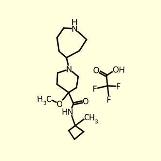 COC1(C(=O)NC2(C)CCC2)CCN(C2CCCNCC2)CC1.O=C(O)C(F)(F)F